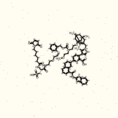 COCCN(CCOC12CC3(C)CC(C)(CC(Cn4ncc(-c5ccc(-c6ccc7cccc(C(=O)Nc8nc9ccccc9s8)c7c6)nc5C(=O)O)c4C)(C3)C1)C2)C(=O)OCc1cc[c]cc1OCCOCCNC(=O)[C@H](CS(=O)(=O)O)NC(=O)CCCCCN1C(=O)C=CC1=O